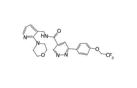 O=C(NCc1cccnc1N1CCOCC1)c1cnnc(-c2ccc(OCC(F)(F)F)cc2)c1